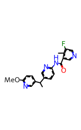 COc1ccc(C(C)c2ccc(NC(=O)c3cncc(F)c3C)nc2)cn1